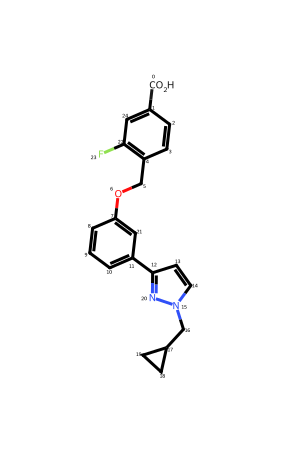 O=C(O)c1ccc(COc2cccc(-c3ccn(CC4CC4)n3)c2)c(F)c1